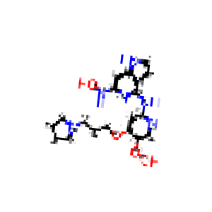 ONc1cc2[nH]ccc2c(Nc2cc(OCCCN3CCCC3)c(OO)cn2)n1